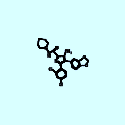 Cc1c(C(=O)NN2CCCCC2)nn(-c2ccc(Cl)cc2Cl)c1-c1ccc2c(c1)OCO2